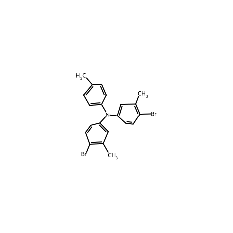 Cc1ccc(N(c2ccc(Br)c(C)c2)c2ccc(Br)c(C)c2)cc1